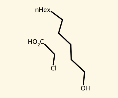 CCCCCCCCCCCO.O=C(O)CCl